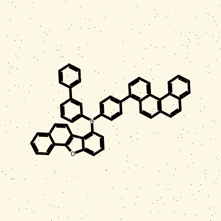 c1ccc(-c2cccc(N(c3ccc(-c4cccc5c4ccc4ccc6ccccc6c45)cc3)c3cccc4oc5c6ccccc6ccc5c34)c2)cc1